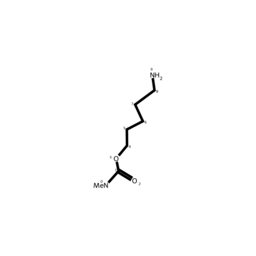 CNC(=O)OCCCCCN